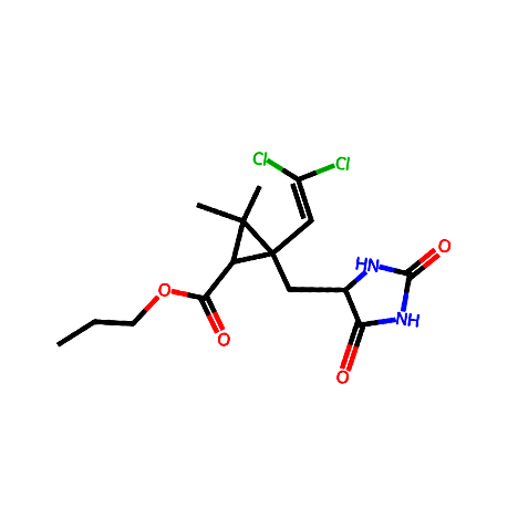 CCCOC(=O)C1C(C)(C)C1(C=C(Cl)Cl)CC1NC(=O)NC1=O